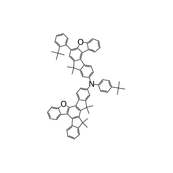 CC(C)(C)c1ccc(N(c2ccc3c(c2)C(C)(C)c2cc(-c4ccccc4C(C)(C)C)c4oc5ccccc5c4c2-3)c2ccc3c(c2)C(C)(C)c2c4c(c5c(oc6ccccc65)c2-3)-c2ccccc2C4(C)C)cc1